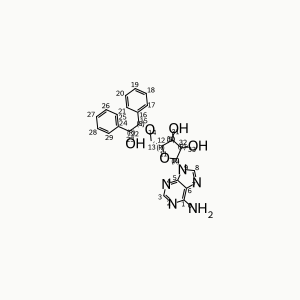 Nc1ncnc2c1ncn2[C@@H]1O[C@H](CO[C@@H](c2ccccc2)[C@H](O)c2ccccc2)[C@@H](O)[C@H]1O